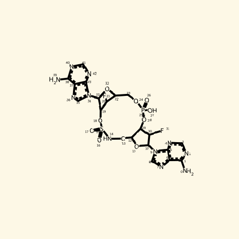 Nc1ncnc2c1ncn2C1OC2CNS(=O)(=O)OC3C(F)C(COP(=O)(O)OC2C1F)OC3n1cnc2c(N)ncnc21